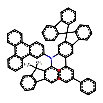 CC1(C)c2ccccc2-c2cccc(N(c3ccc4c5ccccc5c5ccccc5c4c3)c3cc4c(cc3-c3cccc(-c5ccccc5)c3)-c3ccccc3C43c4ccccc4-c4ccccc43)c21